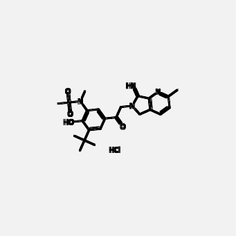 Cc1ccc2c(n1)C(=N)N(CC(=O)c1cc(N(C)S(C)(=O)=O)c(O)c(C(C)(C)C)c1)C2.Cl